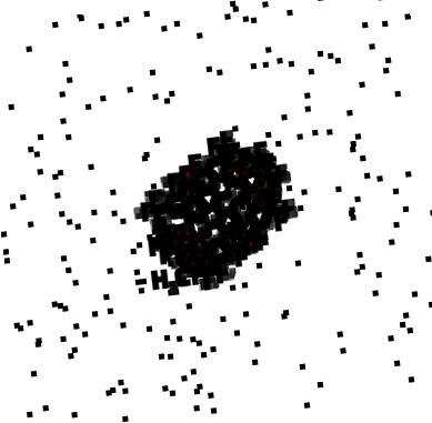 C=C(/C=C(\C=C(/C)P(Cc1cccc(CP(c2cc(C(F)(F)F)cc(C(F)(F)F)c2)c2cc(C(F)(F)F)cc(C(F)(F)F)c2)c1-c1c(CP(c2cc(C(F)(F)F)cc(C(F)(F)F)c2)c2cc(C(F)(F)F)cc(C(F)(F)F)c2)cccc1CP(c1cc(C(F)(F)F)cc(C(F)(F)F)c1)c1cc(C(F)(F)F)cc(C(F)(F)F)c1)c1cc(C(F)(F)F)cc(C(F)(F)F)c1)C(F)(F)F)C(F)(F)F